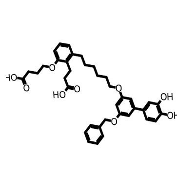 O=C(O)CCCOc1cccc(CCCCCCOc2cc(OCc3ccccc3)cc(-c3ccc(O)c(O)c3)c2)c1CCC(=O)O